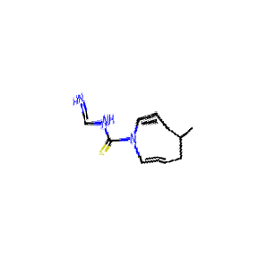 CC1C=CN(C(=S)NC=N)C=CC1